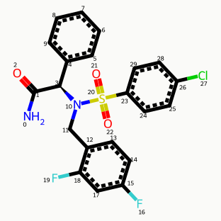 NC(=O)[C@@H](c1ccccc1)N(Cc1ccc(F)cc1F)S(=O)(=O)c1ccc(Cl)cc1